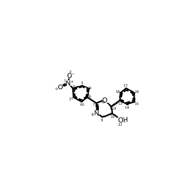 O=[N+]([O-])c1ccc(C2=NCC(O)C(c3ccccc3)O2)cc1